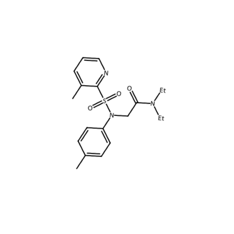 CCN(CC)C(=O)CN(c1ccc(C)cc1)S(=O)(=O)c1ncccc1C